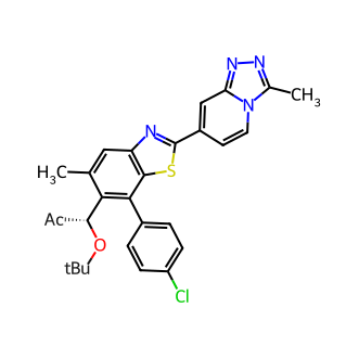 CC(=O)[C@@H](OC(C)(C)C)c1c(C)cc2nc(-c3ccn4c(C)nnc4c3)sc2c1-c1ccc(Cl)cc1